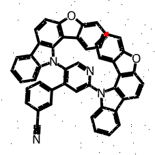 N#Cc1cccc(-c2cc(-n3c4ccccc4c4ccc5oc6ccccc6c5c43)ncc2-n2c3ccccc3c3ccc4oc5ccccc5c4c32)c1